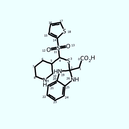 O=C(O)CC1(SC(C2CCCNC2)S(=O)(=O)c2cccs2)Nc2ccccc2N1